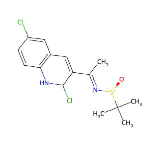 C/C(=N\[S@@+]([O-])C(C)(C)C)C1=Cc2cc(Cl)ccc2NC1Cl